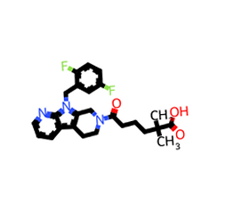 CC(C)(CCCC(=O)N1CCc2c(n(Cc3cc(F)ccc3F)c3ncccc23)C1)C(=O)O